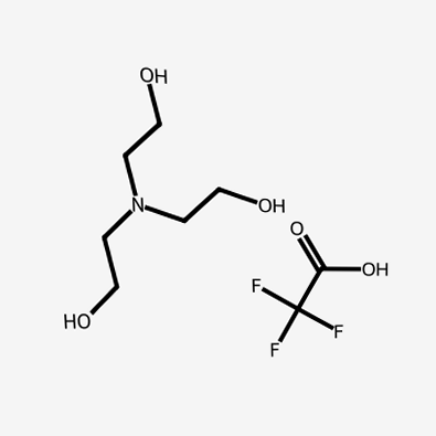 O=C(O)C(F)(F)F.OCCN(CCO)CCO